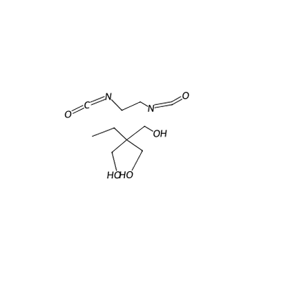 CCC(CO)(CO)CO.O=C=NCCN=C=O